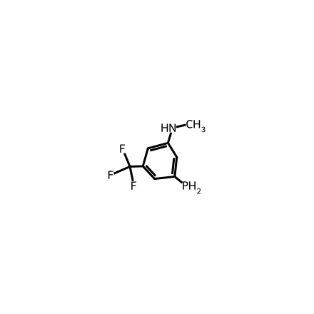 CNc1cc(P)cc(C(F)(F)F)c1